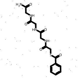 NC(=O)CNC(=O)CNC(=O)CNC(=O)CSC(=O)c1ccccc1